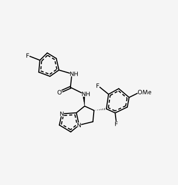 COc1cc(F)c([C@@H]2Cn3ccnc3[C@H]2NC(=O)Nc2ccc(F)cc2)c(F)c1